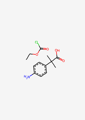 CC(C)(C(=O)O)c1ccc(N)cc1.CCOC(=O)Cl